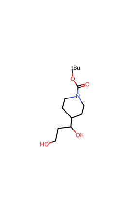 CC(C)(C)OC(=O)N1CCC(C(O)CCO)CC1